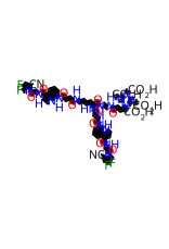 N#C[C@@H]1CC(F)(F)CN1C(=O)CNC(=O)c1ccnc2c(NC(=O)CCC(=O)NCCCCC(NC(=O)CCC(=O)Nc3cccc4c(C(=O)NCC(=O)N5CC(F)(F)C[C@H]5C#N)ccnc34)C(=O)NCCNC(=O)CCC(C(=O)O)N3CN(CC(=O)O)CN(CC(=O)O)CN(CC(=O)O)C3)cccc12